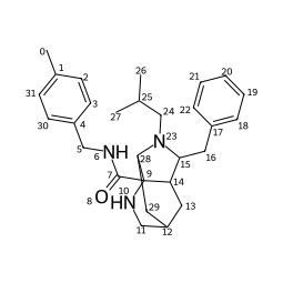 Cc1ccc(CNC(=O)C23NCC4CC2C(Cc2ccccc2)N(CC(C)C)C3C4)cc1